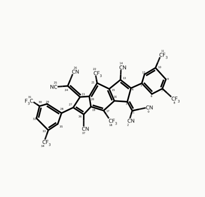 N#CC(C#N)=C1C(c2cc(C(F)(F)F)cc(C(F)(F)F)c2)=C(C#N)c2c1c(C(F)(F)F)c1c(c2C(F)(F)F)C(=C(C#N)C#N)C(c2cc(C(F)(F)F)cc(C(F)(F)F)c2)=C1C#N